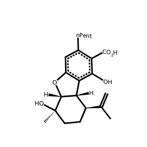 C=C(C)[C@H]1CC[C@@](C)(O)[C@@H]2Oc3cc(CCCCC)c(C(=O)O)c(O)c3[C@H]12